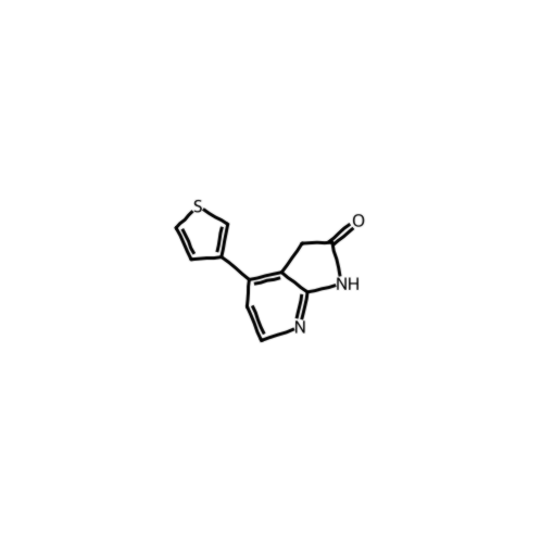 O=C1Cc2c(-c3ccsc3)ccnc2N1